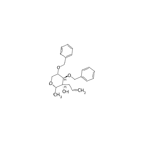 C=CC[C@@]1(O)C(C)OCC(OCc2ccccc2)[C@H]1OCc1ccccc1